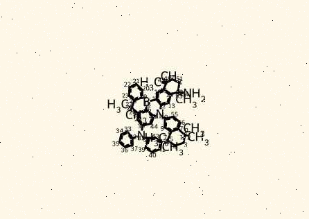 CC1(C)CCC(C)(C)c2cc(N3c4cc5c(cc4B4c6ccccc6C(C)(C)c6cc(N(c7ccccc7)c7ccccc7)cc3c64)C(C)(C)CCC5(C)N)ccc21